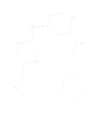 N#Cc1cnc(Nc2cc([AsH]CCC3CCOCC3)ncn2)cn1